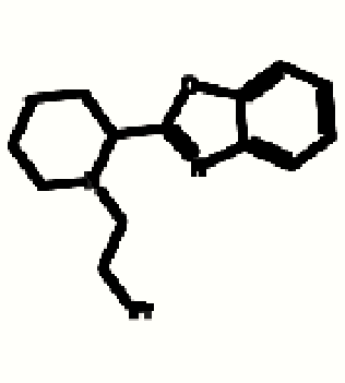 CC(C)CCN1CC[CH]CC1c1nc2ccccc2o1